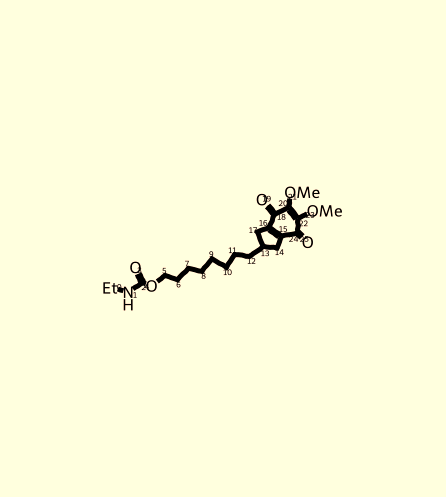 CCNC(=O)OCCCCCCCCC1CC2=C(C1)C(=O)C(OC)=C(OC)C2=O